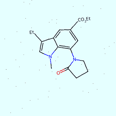 CCOC(=O)c1cc(N2CCCC2=O)c2c(c1)c(CC)cn2C